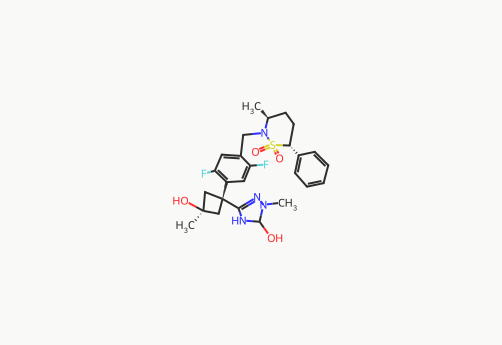 C[C@H]1CC[C@H](c2ccccc2)S(=O)(=O)N1Cc1cc(F)c([C@]2(C3=NN(C)C(O)N3)C[C@](C)(O)C2)cc1F